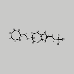 FC(F)(F)CCc1nc2c(s1)CCN(CCC1CCCCCC1)CC2